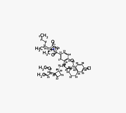 C=CC[C@H](C)[C@@H](C)/[SH](=O)=N\C(=O)c1ccc2c(c1)N(C[C@@H]1CC[C@H]1[C@H](C=C)OC)C[C@@]1(CCCc3cc(Cl)ccc31)CO2